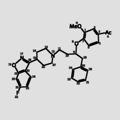 COc1cc(C(C)=O)ccc1OC(CCN1CCC(c2noc3cc(F)ccc23)CC1)Cc1ccccc1